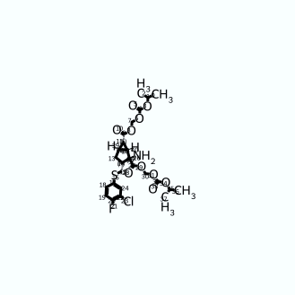 CC(C)OC(=O)OCOC(=O)[C@H]1[C@@H]2C[C@@H](CSc3ccc(F)c(Cl)c3)[C@@](N)(C(=O)OCOC(=O)OC(C)C)[C@@H]21